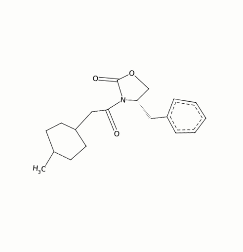 CC1CCC(CC(=O)N2C(=O)OC[C@@H]2Cc2ccccc2)CC1